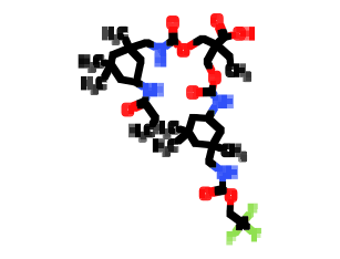 CCC(=O)NC1CC(C)(C)CC(C)(CNC(=O)OCC(CC)(COC(=O)NC2CC(C)(C)CC(C)(CNC(=O)OCC(F)(F)F)C2)C(=O)O)C1